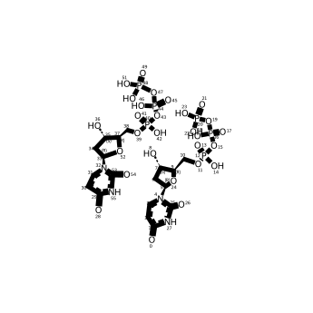 O=c1ccn([C@H]2C[C@H](O)[C@@H](COP(=O)(O)OP(=O)(O)OP(=O)(O)O)O2)c(=O)[nH]1.O=c1ccn([C@H]2C[C@H](O)[C@@H](COP(=O)(O)OP(=O)(O)OP(=O)(O)O)O2)c(=O)[nH]1